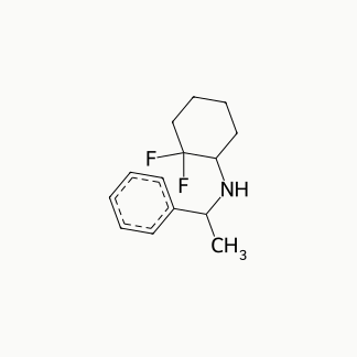 CC(NC1CCCCC1(F)F)c1ccccc1